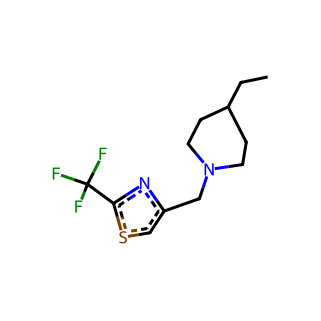 CCC1CCN(Cc2csc(C(F)(F)F)n2)CC1